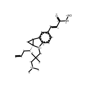 C=CCC[C@]12CC1c1cc(/C=C/C(=O)NN=O)ccc1N2CC(C)(C)CN(C)C